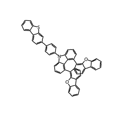 c1ccc2c(c1)oc1c(-c3cccc4c3c3c(-c5cccc6c5oc5ccccc56)cccc3n4-c3ccc(-c4ccc5c(c4)sc4ccccc45)cc3)cccc12